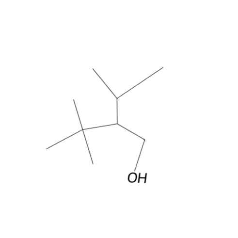 CC(C)C(CO)C(C)(C)C